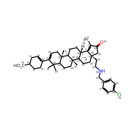 CC(C)C1=C2[C@H]3CCC4[C@@]5(C)CC=C(C6=CCC(C(=O)O)CC6)C(C)(C)C5CC[C@@]4(C)[C@]3(C)CC[C@@]2(CCNCc2ccc(Cl)cc2)CC1=O